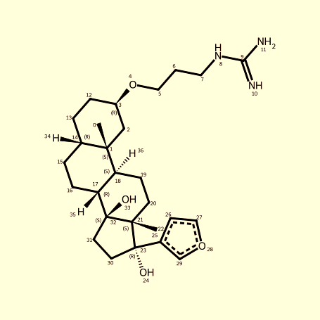 C[C@]12C[C@H](OCCCNC(=N)N)CC[C@H]1CC[C@@H]1[C@@H]2CC[C@]2(C)[C@@](O)(c3ccoc3)CC[C@]12O